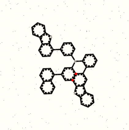 c1cc(-c2cccc3ccccc23)cc(N(c2cccc(-c3cccc4c3sc3ccccc34)c2)c2ccccc2-c2ccc3sc4ccccc4c3c2)c1